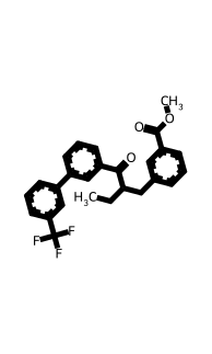 CCC(Cc1cccc(C(=O)OC)c1)C(=O)c1cccc(-c2cccc(C(F)(F)F)c2)c1